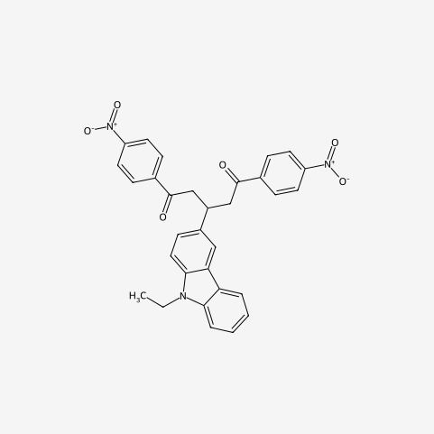 CCn1c2ccccc2c2cc(C(CC(=O)c3ccc([N+](=O)[O-])cc3)CC(=O)c3ccc([N+](=O)[O-])cc3)ccc21